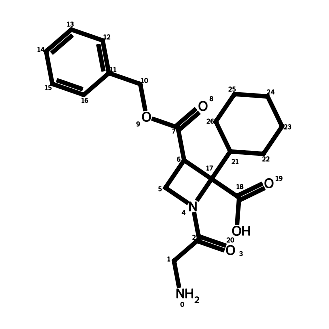 NCC(=O)N1CC(C(=O)OCc2ccccc2)C1(C(=O)O)C1CCCCC1